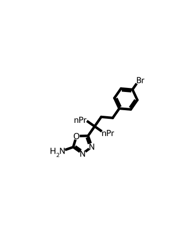 CCCC(CCC)(CCc1ccc(Br)cc1)c1nnc(N)o1